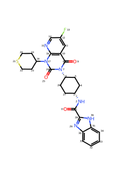 O=C(N[C@H]1CC[C@@H](n2c(=O)c3cc(F)cnc3n(C3CCSCC3)c2=O)CC1)c1nc2ccccc2[nH]1